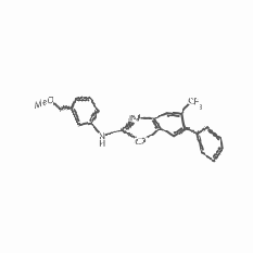 COCc1cccc(Nc2nc3cc(C(F)(F)F)c(-c4ccccc4)cc3o2)c1